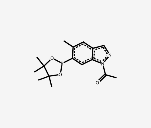 CC(=O)n1ncc2cc(C)c(B3OC(C)(C)C(C)(C)O3)cc21